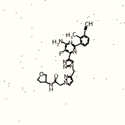 C#Cc1cccc(-c2nc(N)c(F)c(-c3cn(Cc4ccn(CC(=O)NC5CCOC5)n4)nn3)n2)c1C